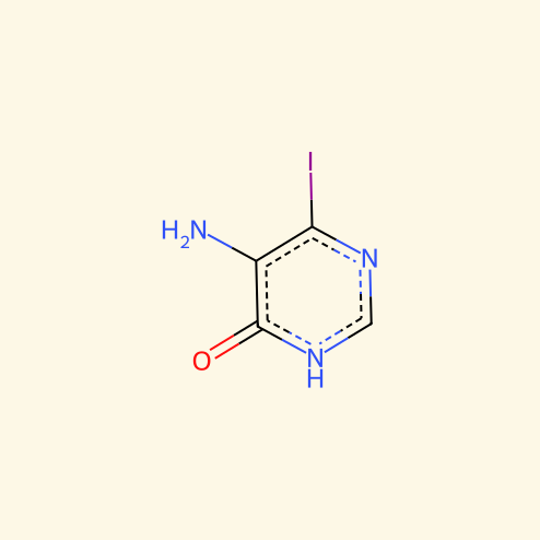 Nc1c(I)nc[nH]c1=O